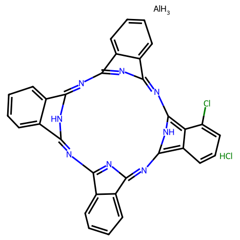 Cl.Clc1cccc2c3nc4nc(nc5[nH]c(nc6nc(nc([nH]3)c12)-c1ccccc1-6)c1ccccc51)-c1ccccc1-4.[AlH3]